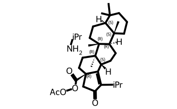 CC(=O)OOC(=O)[C@@]12CC[C@]3(C)[C@H](CC[C@@H]4[C@@]5(C)CCCC(C)(C)[C@@H]5CC[C@]43C)C1=C(C(C)C)C(=O)C2.CC(C)N